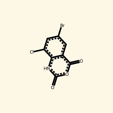 O=c1[nH]c2c(Cl)cc(Br)cc2c(=O)o1